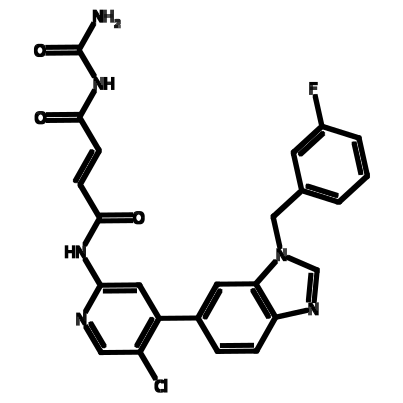 NC(=O)NC(=O)C=CC(=O)Nc1cc(-c2ccc3ncn(Cc4cccc(F)c4)c3c2)c(Cl)cn1